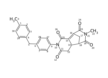 Cc1ccc(Cc2ccc(N3C(=O)CC4C(=C5CC4C(=O)N(C)C5=O)C3=O)cc2)cc1